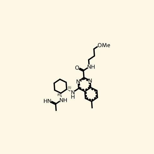 COCCCNC(=O)c1nc(N[C@H]2CCCC[C@H]2NC(C)=N)c2cc(C)ccc2n1